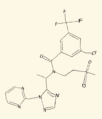 CC(c1ncnn1-c1ncccn1)N(CCS(C)(=O)=O)C(=O)c1cc(Cl)cc(C(F)(F)F)c1